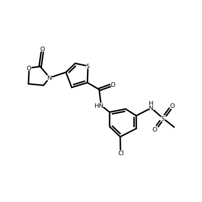 CS(=O)(=O)Nc1cc(Cl)cc(NC(=O)c2cc(N3CCOC3=O)cs2)c1